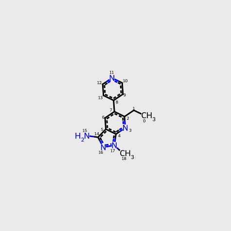 CCc1nc2c(cc1-c1ccncc1)c(N)nn2C